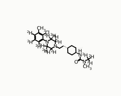 [2H]c1c([2H])c(C)c(Cl)c(N2C([2H])([2H])C([2H])([2H])N(CC[C@H]3CC[C@H](NC(=O)N(C)C([2H])([2H])[2H])CC3)C([2H])([2H])C2([2H])[2H])c1[2H]